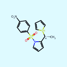 C[C@H](c1cccn1S(=O)(=O)c1ccc([N+](=O)[O-])cc1)[SH]1C=CC=C1